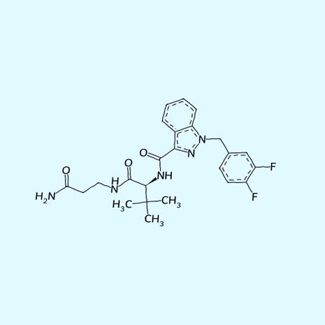 CC(C)(C)[C@H](NC(=O)c1nn(Cc2ccc(F)c(F)c2)c2ccccc12)C(=O)NCCC(N)=O